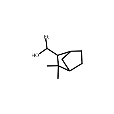 CCC(O)C1C2CCC(C2)C1(C)C